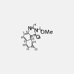 COCn1c(C)nc2ccc3ccc(C)cc3c2c1=O